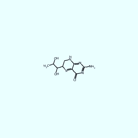 CC(O)C(O)C1CNC2=NC(N)=NC(=O)C2=N1